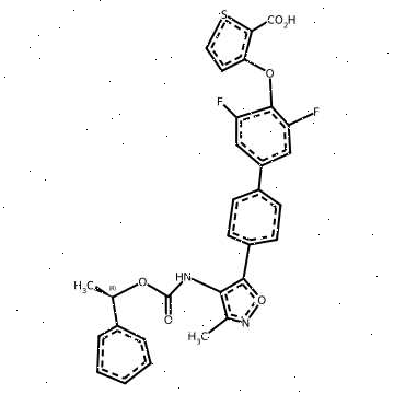 Cc1noc(-c2ccc(-c3cc(F)c(Oc4ccsc4C(=O)O)c(F)c3)cc2)c1NC(=O)O[C@H](C)c1ccccc1